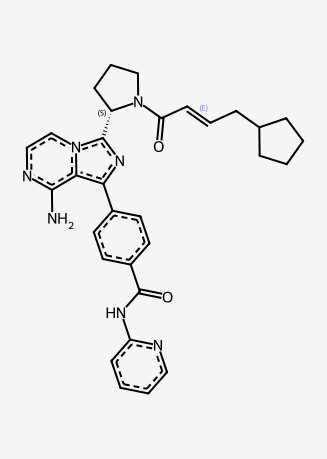 Nc1nccn2c([C@@H]3CCCN3C(=O)/C=C/CC3CCCC3)nc(-c3ccc(C(=O)Nc4ccccn4)cc3)c12